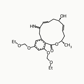 CCOCOc1cc2c(c(OCOCC)c1)C(=O)O[C@H](C)C/C=C/[C@H](O)C/C=C/C(=N)C2